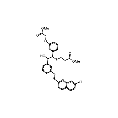 COC(=O)CCSC(c1cccc(OCC(=O)OC)c1)C(O)c1cccc(C=Cc2ccc3ccc(Cl)cc3n2)c1